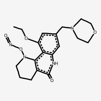 CCOc1cc(CN2CCOCC2)cc2[nH]c(=O)c3c(c12)N(ON=O)CCC3